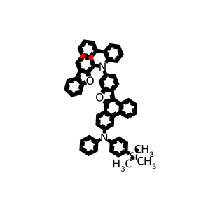 C[Si](C)(C)c1ccc(N(c2ccccc2)c2ccc3c(c2)c2ccccc2c2c4ccc(N(c5ccccc5-c5ccccc5)c5cccc6c5oc5ccccc56)cc4oc32)cc1